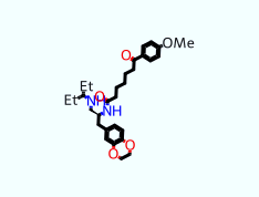 CCC(CC)NC[C@H](Cc1ccc2c(c1)OCCO2)NC(=O)CCCCCC(=O)c1ccc(OC)cc1